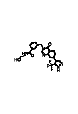 O=C(NCCO)c1cccc(Cn2cnc3cc(-c4cn[nH]c4C(F)(F)F)ccc3c2=O)c1